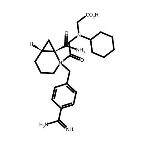 N=C(N)c1ccc(C[N+]2(C(=O)CN(CC(=O)O)C3CCCCC3)CCC[C@@H]3C[C@@]32C(N)=O)cc1